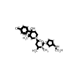 CC(CC(=O)N1CCC(O)(c2ccc(Cl)cc2)C(C)(C)C1)N(C)C(=O)[C@@H]1CCC(NC(=O)O)C1